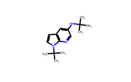 CC(C)(C)Nc1cnc2c(ccn2C(C)(C)C)c1